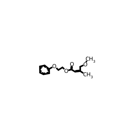 COCC(C)=CC(=O)OCCOc1ccccc1